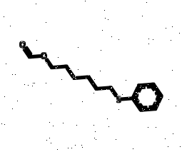 O=COCCCCCCSc1ccccc1